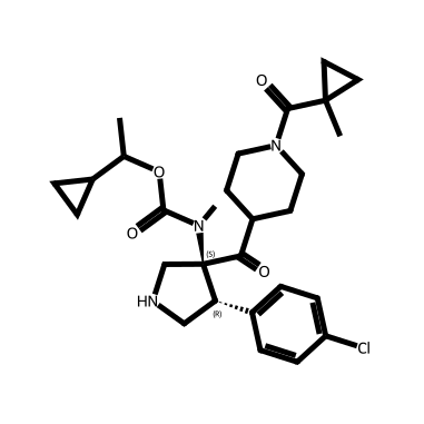 CC(OC(=O)N(C)[C@]1(C(=O)C2CCN(C(=O)C3(C)CC3)CC2)CNC[C@H]1c1ccc(Cl)cc1)C1CC1